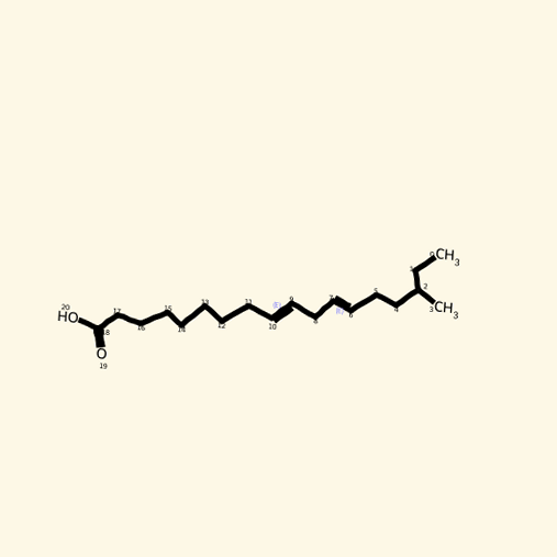 CCC(C)CC/C=C/C/C=C/CCCCCCCC(=O)O